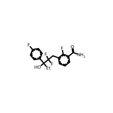 CCC(O)(c1ccc(F)cc1)C(F)(F)Cc1cccc(C(N)=O)c1F